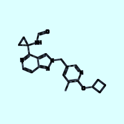 Cc1cc(Cn2cc3c(C4(NC=O)CC4)nccc3n2)cnc1OC1CCC1